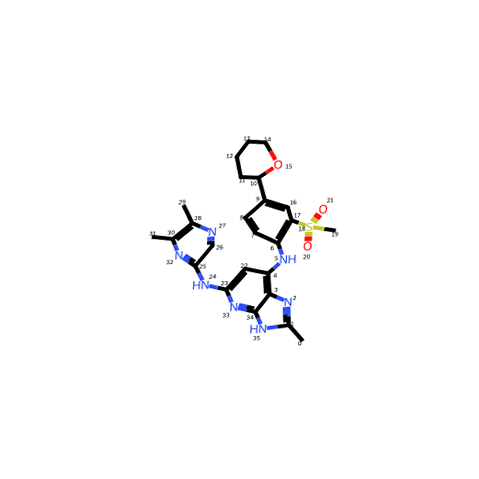 Cc1nc2c(Nc3ccc(C4CCCCO4)cc3S(C)(=O)=O)cc(Nc3cnc(C)c(C)n3)nc2[nH]1